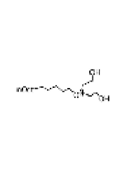 CCCCCCCCCCCCCON(CCO)CCO